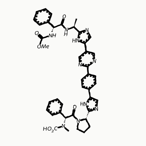 COC(=O)N[C@@H](C(=O)N[C@@H](C)c1ncc(-c2cnc(-c3ccc(-c4cnc([C@@H]5CCCN5C(=O)[C@@H](c5ccccc5)N(C)C(=O)O)[nH]4)cc3)nc2)[nH]1)c1ccccc1